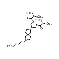 CCCCCCCCC(CCCCCC)C(=O)OCC(COC(=O)C(CCCCCC)CCCCCCCC)N1CCC2(CCN(CCCCCO)C2)C1